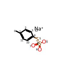 Cc1ccc(SS(=O)(=O)[O-])cc1.[Na+]